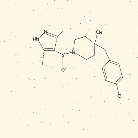 Cc1n[nH]c(C)c1[S+]([O-])N1CCC(C#N)(Cc2ccc(Cl)cc2)CC1